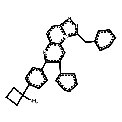 NC1(c2ccc(-c3nc4ccc5nnc(Cc6ccccc6)n5c4cc3-c3ccccc3)cc2)CCC1